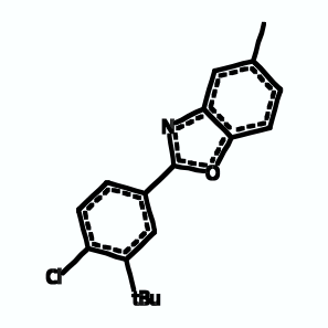 Cc1ccc2oc(-c3ccc(Cl)c(C(C)(C)C)c3)nc2c1